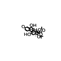 CC(=O)OCC(=O)[C@@]12OC(C)(C)O[C@@H]1C[C@H]1[C@@H]3C[C@H](O)C4=CC(=O)C=C[C@]4(C)[C@@]3(F)[C@@H](O)C[C@@]12C